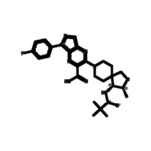 C[C@@H]1OCC2(CCN(c3nc4cnn(-c5ccc(F)cc5)c4nc3C(=O)O)CC2)[C@@H]1N[S+]([O-])C(C)(C)C